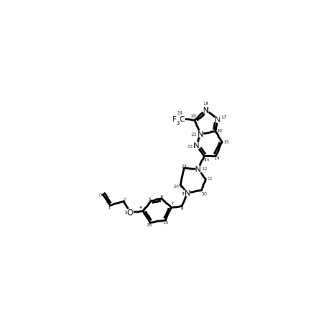 C=CCOc1ccc(CN2CCN(c3ccc4nnc(C(F)(F)F)n4n3)CC2)cc1